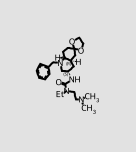 CCN(CCN(C)C)C(=O)N[C@H]1C[C@@H]2CC3(CC[C@H]2N(Cc2ccccc2)C1)OCCO3